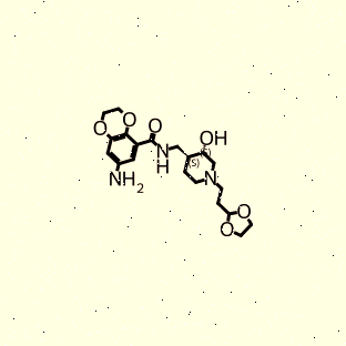 Nc1cc2c(c(C(=O)NC[C@@H]3CCN(CCC4OCCO4)C[C@H]3O)c1)OCCO2